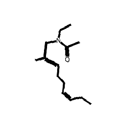 CC/C=C\CC/C=C(\C)CN(CC)C(C)=O